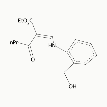 CCCC(=O)C(=CNc1ccccc1CO)C(=O)OCC